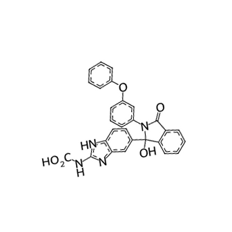 O=C(O)Nc1nc2cc(C3(O)c4ccccc4C(=O)N3c3cccc(Oc4ccccc4)c3)ccc2[nH]1